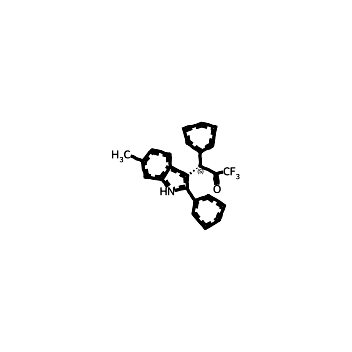 Cc1ccc2c([C@@H](C(=O)C(F)(F)F)c3ccccc3)c(-c3ccccc3)[nH]c2c1